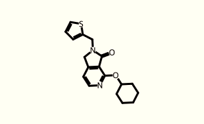 O=C1c2c(ccnc2OC2CCCCC2)CN1Cc1cccs1